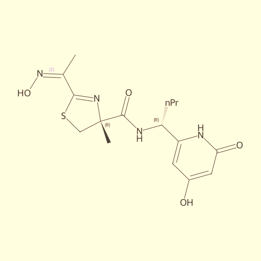 CCC[C@@H](NC(=O)[C@]1(C)CSC(/C(C)=N\O)=N1)c1cc(O)cc(=O)[nH]1